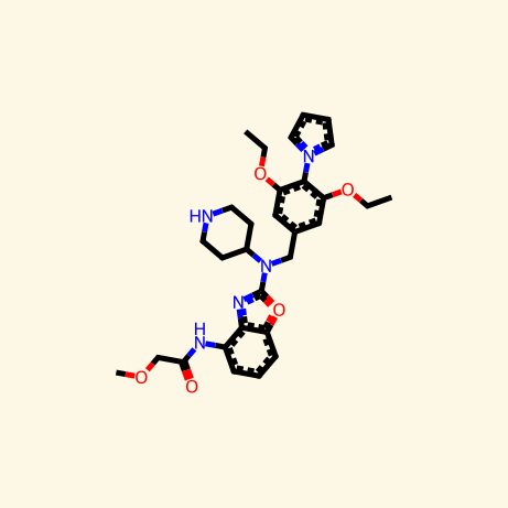 CCOc1cc(CN(c2nc3c(NC(=O)COC)cccc3o2)C2CCNCC2)cc(OCC)c1-n1cccc1